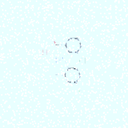 Cc1cc(F)ccc1Nc1c(Cl)cccc1C(=O)O